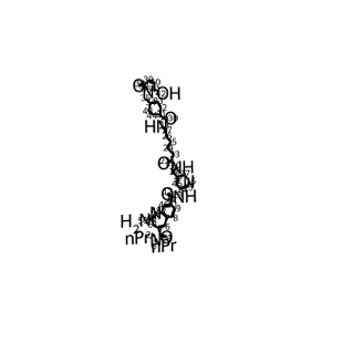 CCCN(CCC)C(=O)C1=Cc2ccc(C(=O)Nc3cncc(CNC(=O)CCCCCNC(=O)C4CCC(CN5C(=O)C=CC5O)CC4)c3)cc2N=C(N)C1